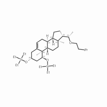 CC[Si](CC)(CC)O[C@@H]1CC2=CC[C@H]3[C@@H]4CC[C@H]([C@H](C)OCCC(C)C)[C@@]4(C)CC[C@@H]3[C@@]2(C)[C@@H](O[Si](CC)(CC)CC)C1